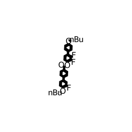 CCCCOc1ccc(-c2ccc(OC(=O)c3ccc(-c4ccc(OCCCC)c(F)c4)cc3)c(F)c2F)cc1